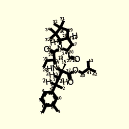 [2H]C(C)(c1ccc(C)c(C)c1)C([2H])([2H])[C@](C)(N[C@@](C)(CC)C(=O)N1[C@H](C=O)C[C@@H]2CC(C)(C)C(C)(C)[C@@H]21)C(=O)OCC(C)C